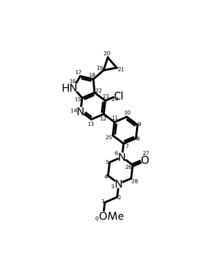 COCCN1CCN(c2cccc(-c3cnc4[nH]cc(C5CC5)c4c3Cl)c2)C(=O)C1